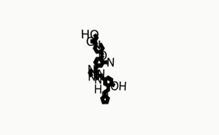 N#Cc1cc(-c2ncnc3[nH]c(C4=CC(CCN5CCCC5)C(O)C=C4)nc23)ccc1OC1CCN(C(=O)CO)CC1